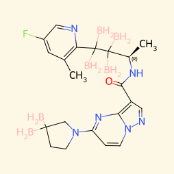 BC1(B)CCN(c2ccn3ncc(C(=O)N[C@H](C)C(B)(B)C(B)(B)c4ncc(F)cc4C)c3n2)C1